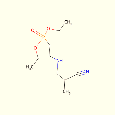 CCOP(=O)(CCNCC(C)C#N)OCC